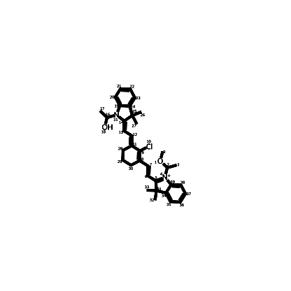 COC(C)[N+]1=C(/C=C/C2=C(Cl)C(=C/C=C3/N(C(C)O)c4ccccc4C3(C)C)/CCC2)C(C)(C)c2ccccc21